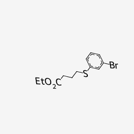 CCOC(=O)CCCSc1cccc(Br)c1